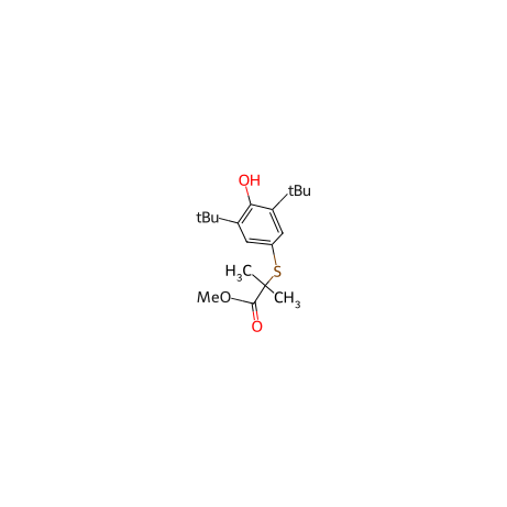 COC(=O)C(C)(C)Sc1cc(C(C)(C)C)c(O)c(C(C)(C)C)c1